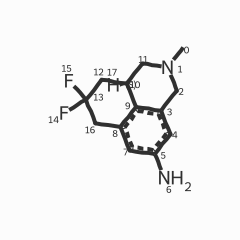 CN1Cc2cc(N)cc3c2[C@@H](C1)CC(F)(F)C3